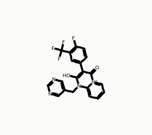 O=c1c(-c2ccc(F)c(C(F)(F)F)c2)c(O)n(Cc2cncnc2)c2cccc[n+]12